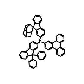 c1ccc(C2(c3ccccc3)c3ccccc3-c3ccc(N(c4ccc5c(c4)C4(c6ccccc6-5)C5CC6CC(C5)CC4C6)c4ccc5c6ccccc6c6ccccc6c5c4)cc32)cc1